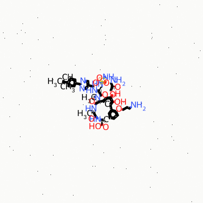 C[C@@H]1NC(=O)[C@@H](N(C)C(=O)[C@H](CNS(N)(=O)=O)NC(=O)c2cnc(-c3ccc(C(C)(C)C)cc3)nc2)c2cc(OC[C@H](O)CN)c(O)c(c2)-c2cc(ccc2OCCCN)C[C@@H](C(=O)O)NC1=O